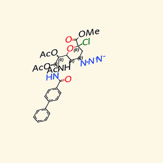 COC(=O)[C@]1(Cl)C[C@@H](N=[N+]=[N-])[C@@H](NC(C)=O)C([C@H](OC(C)=O)[C@@H](CNC(=O)c2ccc(-c3ccccc3)cc2)OC(C)=O)O1